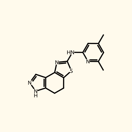 Cc1cc(C)nc(Nc2nc3c(s2)CCc2[nH]ncc2-3)c1